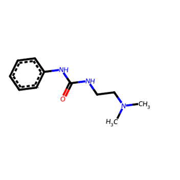 CN(C)CCNC(=O)Nc1[c]cccc1